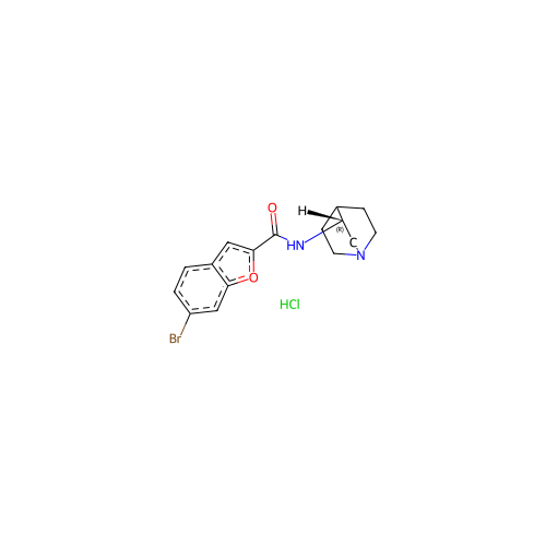 Cl.O=C(N[C@H]1CN2CCC1CC2)c1cc2ccc(Br)cc2o1